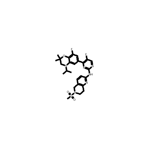 CC(C)N1CC(C)(C)Oc2c(F)cc(-c3nc(Nc4ccc5c(n4)CCN(S(C)(=O)=O)C5)ncc3F)cc21